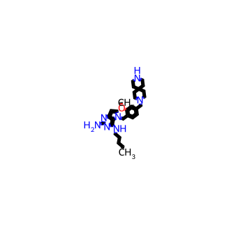 CCCCCNc1nc(N)nc2ccn(Cc3ccc(CN4CCC5(CCNCC5)CC4)cc3OC)c12